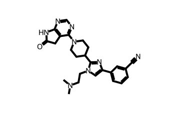 CN(C)CCn1cc(-c2cccc(C#N)c2)nc1C1CCN(c2ncnc3c2CC(=O)N3)CC1